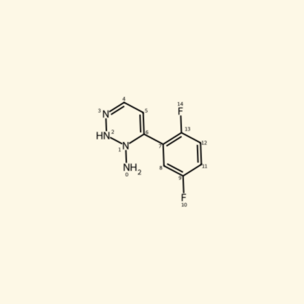 NN1NN=CC=C1c1cc(F)ccc1F